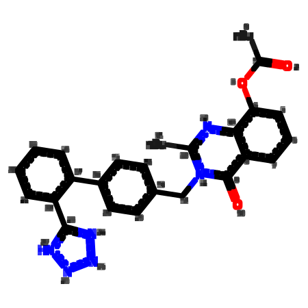 CCCCC(=O)Oc1cccc2c(=O)n(Cc3ccc(-c4ccccc4-c4nnn[nH]4)cc3)c(CCCC)nc12